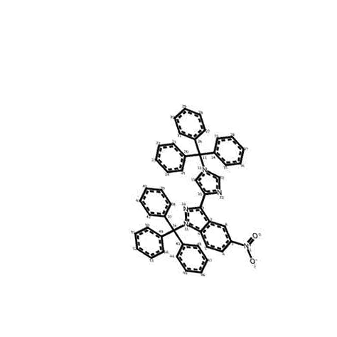 O=[N+]([O-])c1ccc2c(c1)c(-c1cn(C(c3ccccc3)(c3ccccc3)c3ccccc3)cn1)nn2C(c1ccccc1)(c1ccccc1)c1ccccc1